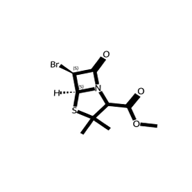 COC(=O)C1N2C(=O)[C@H](Br)[C@@H]2SC1(C)C